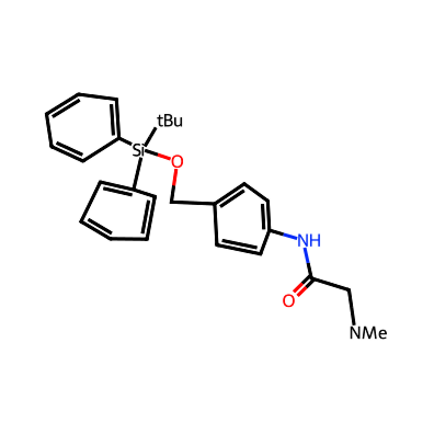 CNCC(=O)Nc1ccc(CO[Si](c2ccccc2)(c2ccccc2)C(C)(C)C)cc1